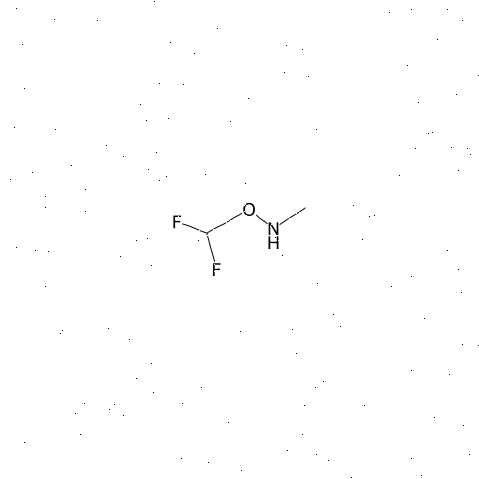 CNOC(F)F